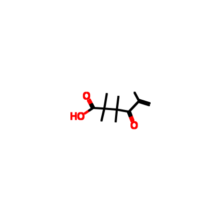 C=C(C)C(=O)C(C)(C)C(C)(C)C(=O)O